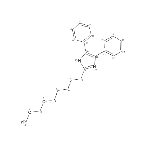 CCCOCOCCCCCC1=NC(c2ccccc2)=C(c2ccccc2)[N]1